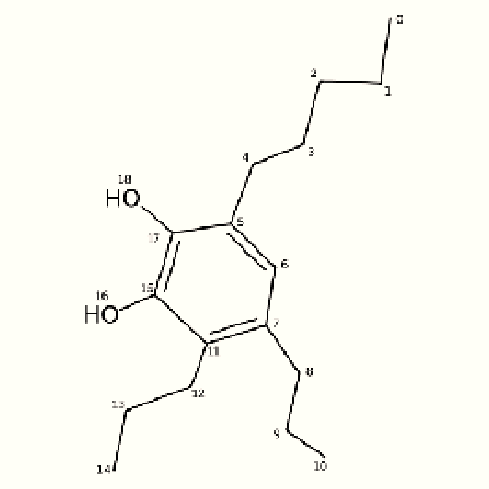 CCCCCc1cc(CCC)c(CCC)c(O)c1O